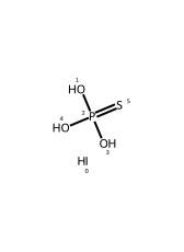 I.OP(O)(O)=S